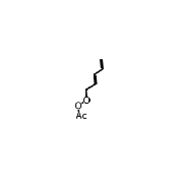 C=CC=CCOOC(C)=O